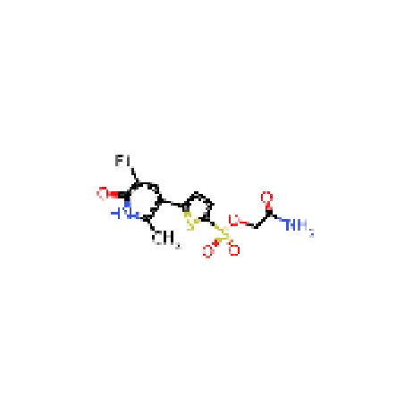 CCc1cc(-c2ccc(S(=O)(=O)OCC(N)=O)s2)c(C)[nH]c1=O